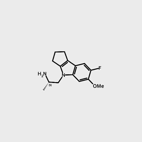 COc1cc2c(cc1F)c1c(n2C[C@H](C)N)CCC1